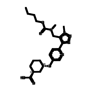 CCCCOC(=O)N(C)Cc1c(-c2ccc(O[C@H]3CCC[C@H](C(=O)O)C3)cn2)nnn1C